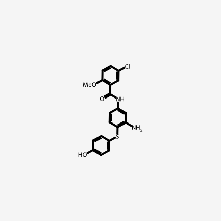 COc1ccc(Cl)cc1C(=O)Nc1ccc(Sc2ccc(O)cc2)c(N)c1